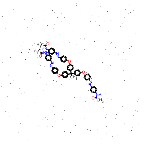 CC(=O)Nc1ccc(N=Nc2ccc(Oc3ccc(C(C)(c4ccc(Oc5ccc(N=Nc6ccc(NC(C)=O)cc6)cc5)cc4)c4ccc(Oc5ccc(N=Nc6ccc(NC(C)=O)cc6)cc5)cc4)cc3)cc2)cc1